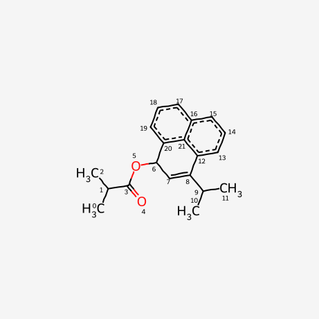 CC(C)C(=O)OC1C=C(C(C)C)c2cccc3cccc1c23